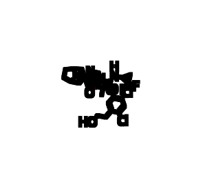 CC(C)(Oc1cc(CCO)c(Cl)cc1Cl)C(=O)NC1CC2CCC(C1)N2c1ccc(C(=O)NC2CC2(F)F)cn1